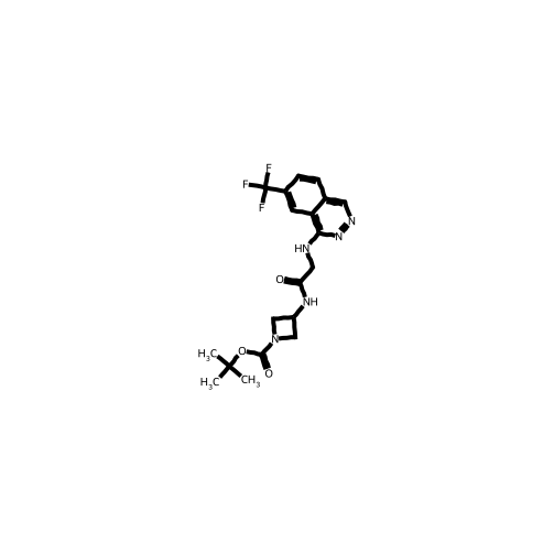 CC(C)(C)OC(=O)N1CC(NC(=O)CNc2nncc3ccc(C(F)(F)F)cc23)C1